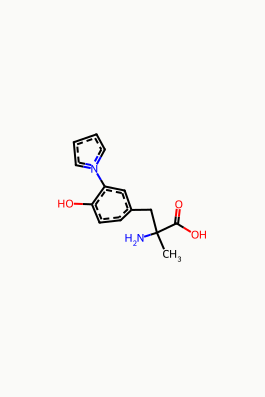 CC(N)(Cc1ccc(O)c(-n2cccc2)c1)C(=O)O